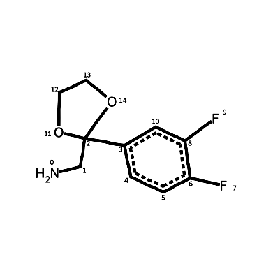 NCC1(c2ccc(F)c(F)c2)OCCO1